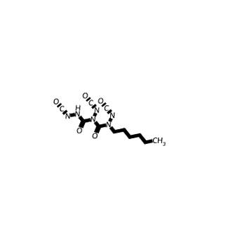 CCCCCCN(N=C=O)C(=O)N(N=C=O)C(=O)NN=C=O